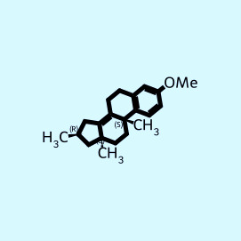 COc1ccc2c(c1)CCC1=C3C[C@H](C)C[C@]3(C)CC[C@]12C